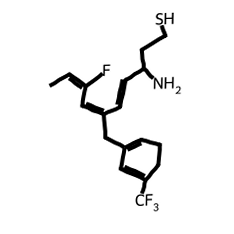 C\C=C(F)/C=C(\C=C\C(N)CCS)CC1=CCCC(C(F)(F)F)=C1